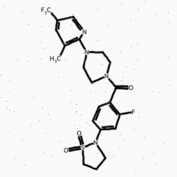 Cc1cc(C(F)(F)F)cnc1N1CCN(C(=O)c2ccc(N3CCCS3(=O)=O)cc2F)CC1